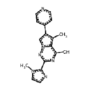 Cc1c(-c2ccncc2)cn2nc(-c3nccn3C)nc(O)c12